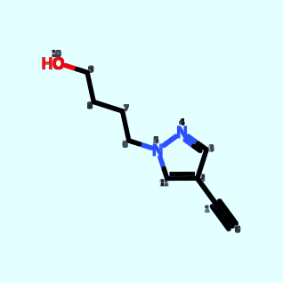 C#Cc1cnn(CCCCO)c1